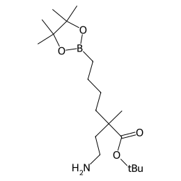 CC(C)(C)OC(=O)C(C)(CCN)CCCCB1OC(C)(C)C(C)(C)O1